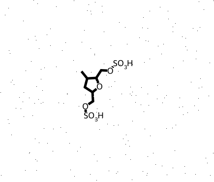 CC1CC(COS(=O)(=O)O)OC1COS(=O)(=O)O